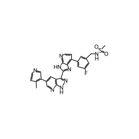 Cc1ccncc1-c1cnc2[nH]nc(-c3nc4c(-c5cc(F)cc(CNS(C)(=O)=O)c5)ccnc4[nH]3)c2c1